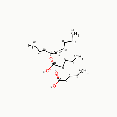 CCCCC(=O)[O-].CCCCC(=O)[O-].CCC[CH2][Sn+2][CH2]CCC